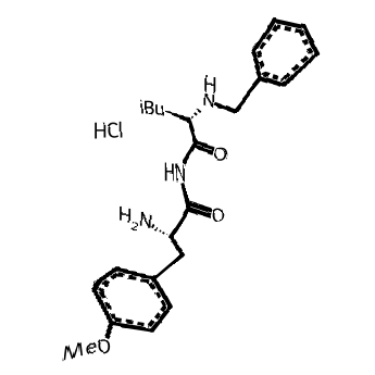 CC[C@H](C)[C@H](NCc1ccccc1)C(=O)NC(=O)[C@@H](N)Cc1ccc(OC)cc1.Cl